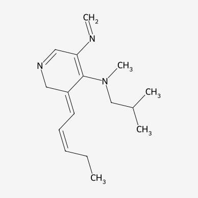 C=NC1=C(N(C)CC(C)C)/C(=C/C=C\CC)CN=C1